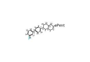 CCCCCC1CCC2CC(c3ccc(-c4cccc(F)c4)cc3)CCC2C1